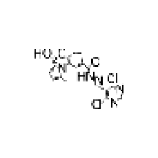 Cc1ccc(C)n1-c1cc(C(=O)N/N=C/c2c(Cl)ncnc2Cl)ccc1C(=O)O